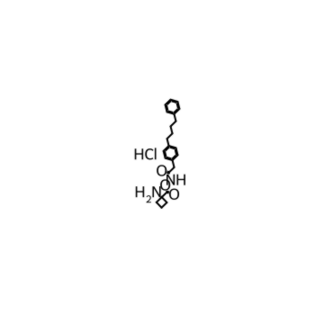 Cl.NC1(C(=O)ONC(=O)Cc2ccc(CCCCc3ccccc3)cc2)CCC1